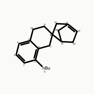 CCCCc1cccc2c1CC1(CC2)CC2=CCC1C2